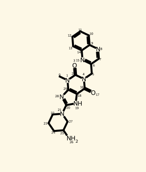 Cn1c(=O)n(Cc2cnc3ccccc3n2)c(=O)c2[nH]c(N3CCCC(N)C3)nc21